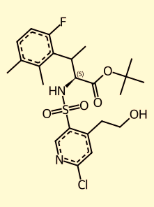 Cc1ccc(F)c(C(C)[C@H](NS(=O)(=O)c2cnc(Cl)cc2CCO)C(=O)OC(C)(C)C)c1C